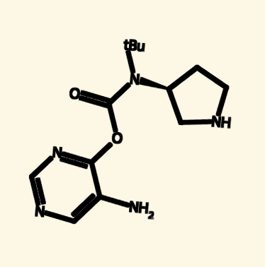 CC(C)(C)N(C(=O)Oc1ncncc1N)[C@H]1CCNC1